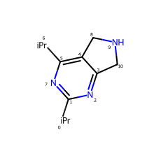 CC(C)c1nc2c(c(C(C)C)n1)CNC2